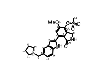 COc1cc(-c2cc3cc(CN4CCCC4)ccc3[nH]2)c2c(c1OS(C)(=O)=O)CNC2=O